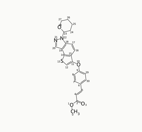 COC(=O)C=Cc1ccc(Oc2csc3c2ccc2c3cnn2C2CCCCO2)cc1